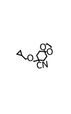 N#CC1(COCC2CC2)CCC2(CC1)OCCO2